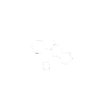 CC1CCCCN1c1c(N2CCC2)c2ccccc2oc1=O